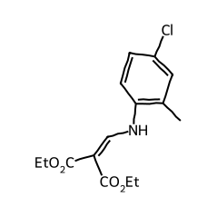 CCOC(=O)C(=CNc1ccc(Cl)cc1C)C(=O)OCC